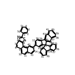 c1ccc(-c2nc3ccc4ccc5ccc(-c6ccc7c(c6)C6(c8ccccc8-c8ccccc86)c6cc8ccccc8cc6-7)cc5c4c3s2)cc1